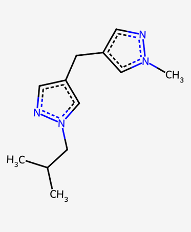 CC(C)Cn1cc(Cc2cnn(C)c2)cn1